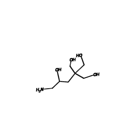 NCC(O)CC(CO)(CO)CO